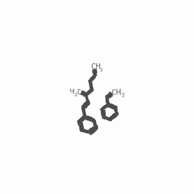 C=CCCC(=C)C=Cc1ccccc1.C=Cc1ccccc1